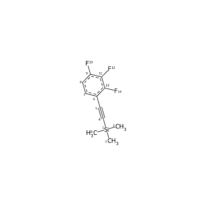 C[Si](C)(C)C#Cc1ccc(F)c(F)c1F